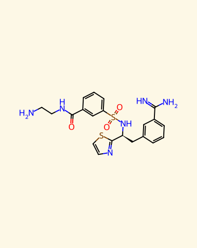 N=C(N)c1cccc(C[C@H](NS(=O)(=O)c2cccc(C(=O)NCCN)c2)c2nccs2)c1